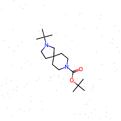 CC(C)(C)OC(=O)N1CCC2(CC1)CCN(C(C)(C)C)C2